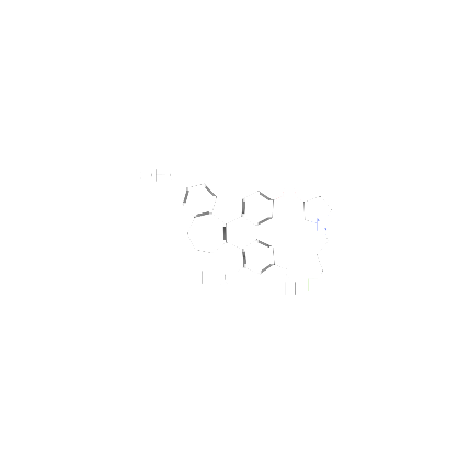 Cc1ccc(C2=C(c3ccc(OC4CCN(CCCF)C4)cc3)c3ccc(C=O)cc3CCC2)c(C)c1